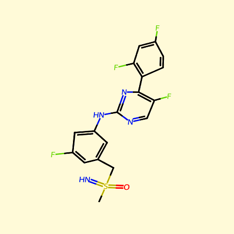 CS(=N)(=O)Cc1cc(F)cc(Nc2ncc(F)c(-c3ccc(F)cc3F)n2)c1